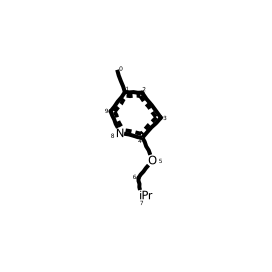 Cc1ccc(OCC(C)C)nc1